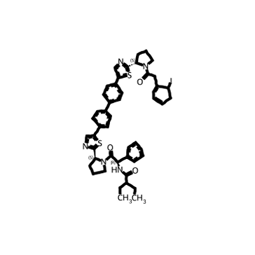 CCC(CC)C(=O)N[C@@H](C(=O)N1CCC[C@H]1c1ncc(-c2ccc(-c3ccc(-c4cnc([C@@H]5CCCN5C(=O)CC5=CC=CCC5I)s4)cc3)cc2)s1)c1ccccc1